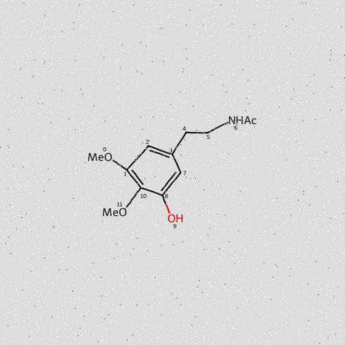 COc1cc(CCNC(C)=O)cc(O)c1OC